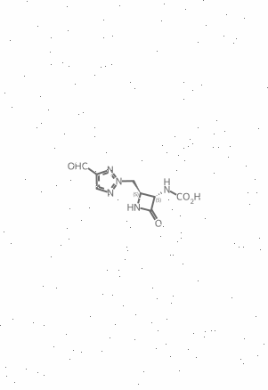 O=Cc1cnn(C[C@@H]2NC(=O)[C@H]2NC(=O)O)n1